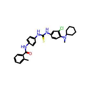 Cc1ccccc1C(=O)Nc1ccc(NC(=S)Nc2ccc(N(C)C3CCCCC3)c(Cl)c2)cc1